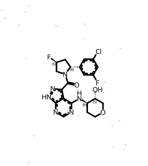 O=C(c1n[nH]c2ncnc(N[C@@H]3CCOC[C@H]3O)c12)N1C[C@@H](F)C[C@@H]1c1cc(F)cc(Cl)c1